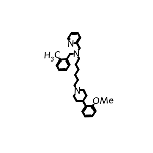 COc1ccccc1C1CCN(CCCCCCN(Cc2ccccn2)Cc2ccccc2C)CC1